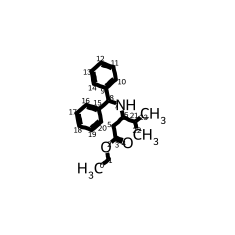 CCOC(=O)CC(NC(c1ccccc1)c1ccccc1)C(C)C